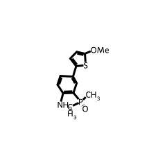 COc1ccc(-c2ccc(N)c(P(C)(C)=O)c2)s1